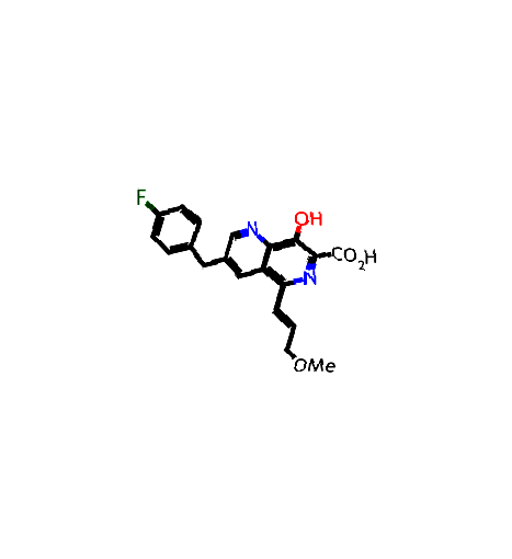 COCC=Cc1nc(C(=O)O)c(O)c2ncc(Cc3ccc(F)cc3)cc12